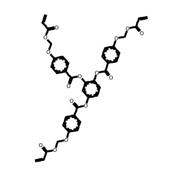 C=CC(=O)OCOc1ccc(C(=O)Oc2ccc(OC(=O)c3ccc(OCOC(=O)C=C)cc3)c(OC(=O)c3ccc(OCOC(=O)C=C)cc3)c2)cc1